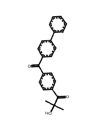 CC(C)(O)C(=O)c1ccc(C(=O)c2ccc(-c3ccccc3)cc2)cc1